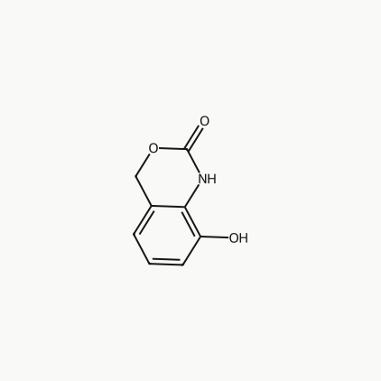 O=C1Nc2c(O)cccc2CO1